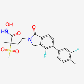 Cc1ccc(-c2ccc3c(c2F)CN(CCC(C)(C(=O)NO)S(C)(=O)=O)C3=O)cc1F